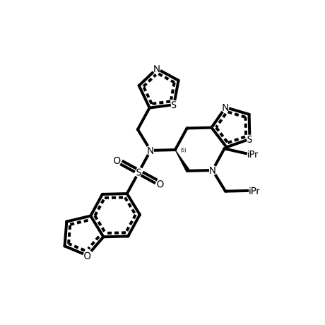 CC(C)CN(CC(C)C)C[C@H](Cc1cscn1)N(Cc1cncs1)S(=O)(=O)c1ccc2occc2c1